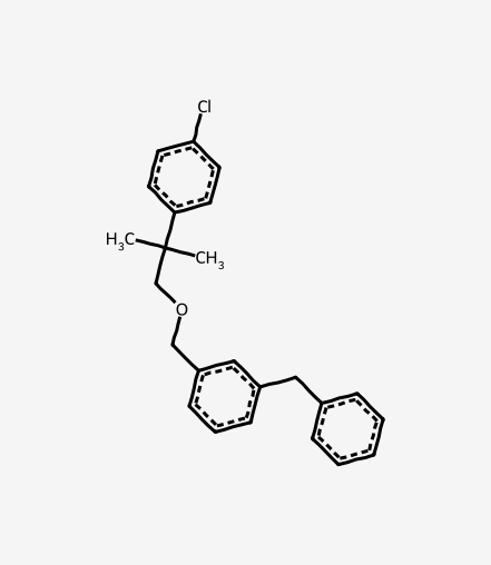 CC(C)(COCc1cccc(Cc2ccccc2)c1)c1ccc(Cl)cc1